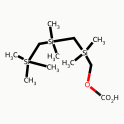 C[Si](C)(C)C[Si](C)(C)C[Si](C)(C)COC(=O)O